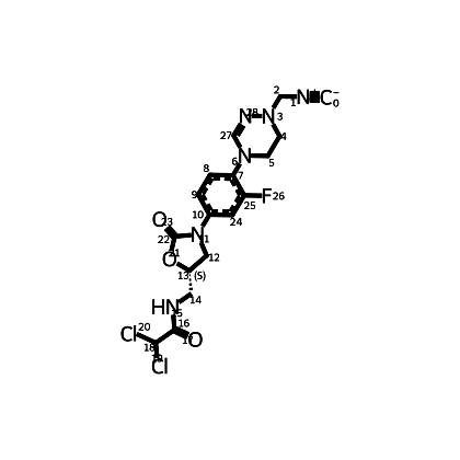 [C-]#[N+]CN1CCN(c2ccc(N3C[C@H](CNC(=O)C(Cl)Cl)OC3=O)cc2F)C=N1